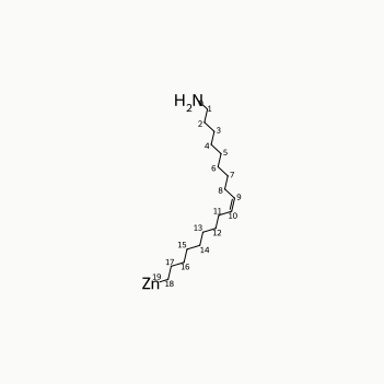 NCCCCCCCC/C=C\CCCCCCC[CH2][Zn]